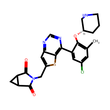 Cc1cc(Cl)cc(-c2ncnc3cc(CN4C(=O)C5CC5C4=O)sc23)c1O[C@H]1CCCNC1